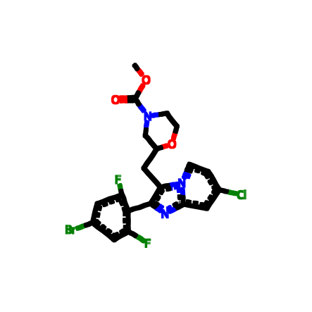 COC(=O)N1CCOC(Cc2c(-c3c(F)cc(Br)cc3F)nc3cc(Cl)ccn23)C1